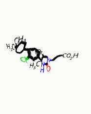 CC(C)C1=CN(CCC(=O)O)C(=O)N[C@@]1(C)c1ccc(C2CCC(C)(C)CC2)c(Cl)c1